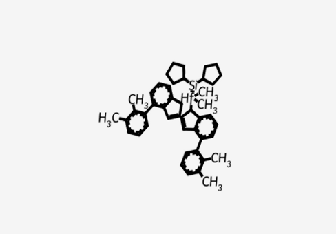 Cc1cccc(-c2cccc3c2C=C[CH]3[Hf]([CH3])([CH3])([CH]2C=Cc3c(-c4cccc(C)c4C)cccc32)=[Si](C2CCCC2)C2CCCC2)c1C